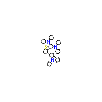 c1ccc(N(c2ccccc2)c2cc(N(c3ccccc3)c3ccccc3)c3sc4cccc(-c5ccc6c7ccccc7n(-c7ccccc7)c6c5)c4c3c2)cc1